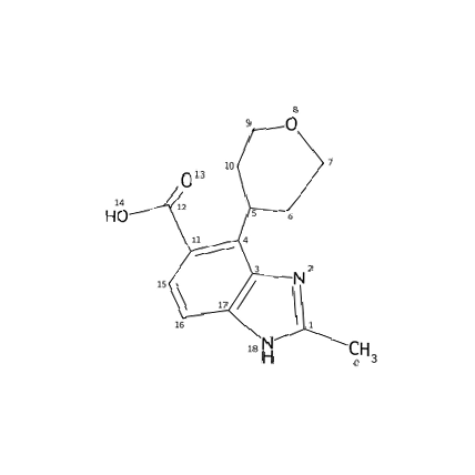 Cc1nc2c(C3CCOCC3)c(C(=O)O)ccc2[nH]1